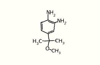 COC(C)(C)c1ccc(N)c(N)c1